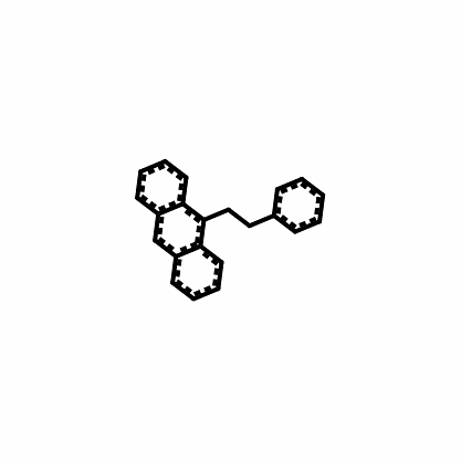 c1ccc(CCc2c3ccccc3cc3ccccc23)cc1